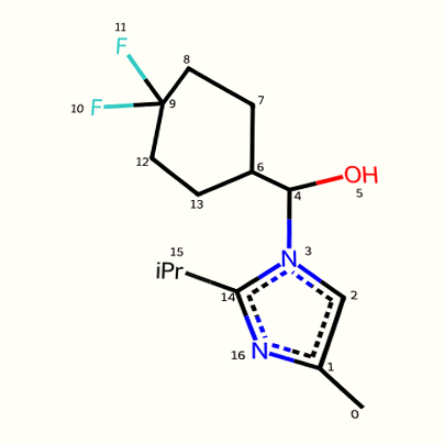 Cc1cn(C(O)C2CCC(F)(F)CC2)c(C(C)C)n1